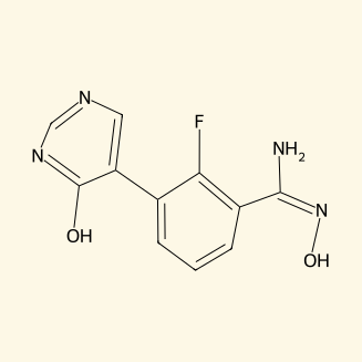 N/C(=N/O)c1cccc(-c2cncnc2O)c1F